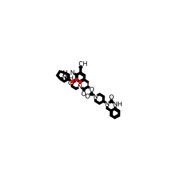 C#Cc1cc(C[C@@H](OC(=O)N2CCC(N3Cc4ccccc4NC3=O)CC2)C(=O)N2CCN(C3CC4CCC(C3)N4C)CC2)cc(Cl)c1N